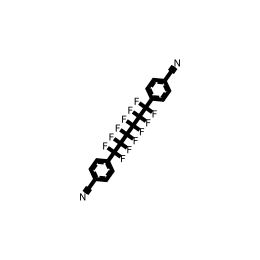 N#Cc1ccc(C(F)(F)C(F)(F)C(F)(F)C(F)(F)C(F)(F)C(F)(F)c2ccc(C#N)cc2)cc1